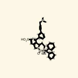 CN(C)CC#Cc1cccc(-c2nc(C(=O)O)cc3c2C(CCO[Si](c2ccccc2)(c2ccccc2)C(C)(C)C)N([S@@+]([O-])C(C)(C)C)C3)c1